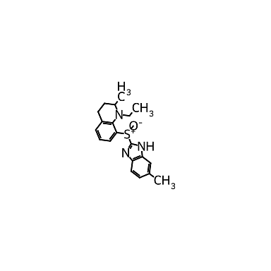 CCN1c2c(cccc2[S+]([O-])c2nc3ccc(C)cc3[nH]2)CCC1C